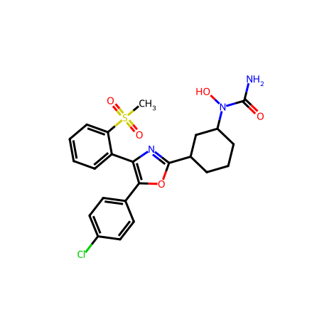 CS(=O)(=O)c1ccccc1-c1nc(C2CCCC(N(O)C(N)=O)C2)oc1-c1ccc(Cl)cc1